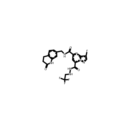 O=C1CCc2ccc(CNC(=O)c3cc(C(=O)NNCC(F)(F)F)n4ncc(F)c4n3)cc2N1